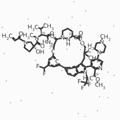 C=CC(=O)N1CC[C@](O)(C(=O)N(C)[C@H](C(=O)N[C@H]2Cc3cc(cc(C(F)F)c3)-c3ccc4c(c3)c(c(-c3cc(N5CCN(C)CC5)cnc3[C@H](C)OC)n4CC(F)(F)F)CC(C)(C)COC(=O)[C@@]3(O)CCCN(N3)C2=O)C(C)C)C1